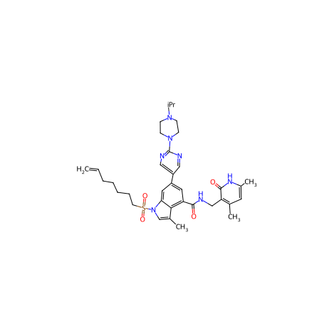 C=CCCCCCS(=O)(=O)n1cc(C)c2c(C(=O)NCc3c(C)cc(C)[nH]c3=O)cc(-c3cnc(N4CCN(C(C)C)CC4)nc3)cc21